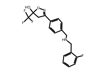 OC1(C(F)(F)F)CC(c2ccc(CNCc3ccccc3F)cc2)=NO1